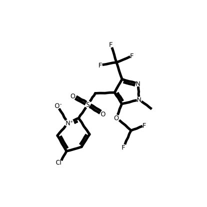 Cn1nc(C(F)(F)F)c(CS(=O)(=O)c2ccc(Cl)c[n+]2[O-])c1OC(F)F